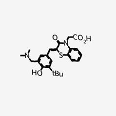 CN(C)Cc1cc(/C=C2\Sc3ccccc3N(CC(=O)O)C2=O)cc(C(C)(C)C)c1O